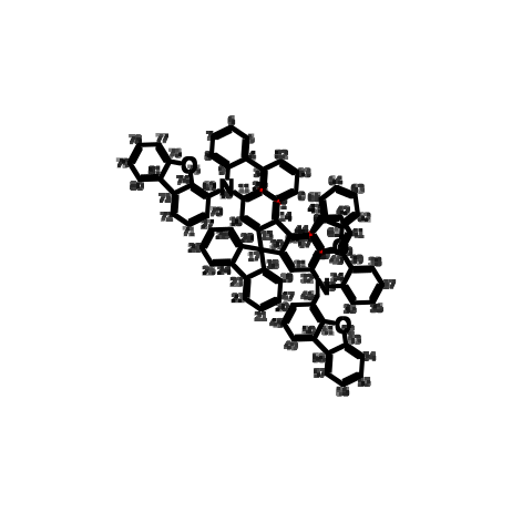 c1ccc(-c2ccccc2N(c2ccc3c(c2)C2(c4ccccc4-c4ccccc42)c2cc(N(c4ccccc4-c4ccccc4)c4cccc5c4oc4ccccc45)c4oc5ccccc5c4c2-3)c2cccc3c2oc2ccccc23)cc1